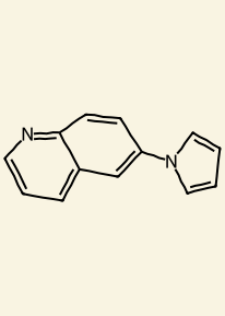 c1cnc2ccc(-n3cccc3)cc2c1